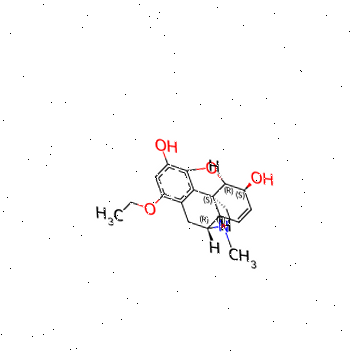 CCOc1cc(O)c2c3c1C[C@@H]1[C@@H]4C=C[C@H](O)[C@H](O2)[C@]34CCN1C